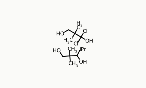 CC(C)(CO)C(O)(Cl)Cl.CC(C)C(O)C(C)(C)CO